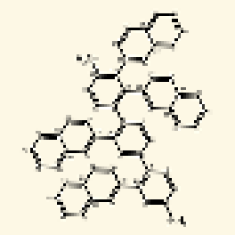 Nc1ccc(-c2ccc(-c3ccc(N)c(-c4ccc5ccccc5c4)c3-c3ccc4ccccc4c3)c(-c3ccc4ccccc4c3)c2)c(-c2ccc3ccccc3c2)c1